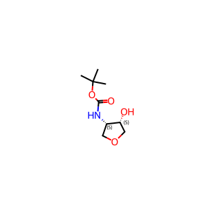 CC(C)(C)OC(=O)N[C@H]1COC[C@H]1O